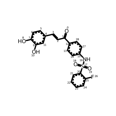 O=C(C=Cc1ccc(O)c(O)c1)c1ccc(NS(=O)(=O)c2ccccc2F)cc1